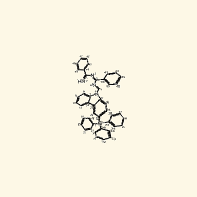 N=C(/N=C(\N=C\n1c2ccccc2c2cc([Si](c3ccccc3)(c3ccccc3)c3ccccc3)ccc21)c1ccccc1)c1ccccc1